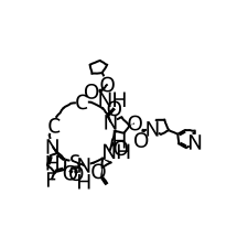 C=C[C@@H]1C[C@@]12NC(=O)[C@@H]1C[C@@H](OC(=O)N3CCC(c4ccncc4)C3)CN1C(=O)[C@@H](NC(=O)OC1CCCC1)CCCCCCCNc1ccc(F)cc1S(=O)(=O)NC2=O